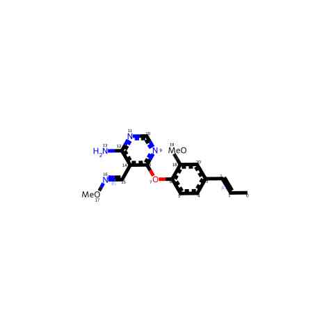 C/C=C/c1ccc(Oc2ncnc(N)c2/C=N/OC)c(OC)c1